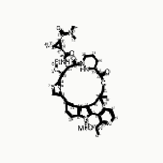 CCO[C@@H]1c2nc(cs2)-c2ccc3c(c2)c(c(-c2cccnc2[C@H](C)OC)n3CC)CC(C)(C)COC(=O)[C@@H]2CCCN(N2)C(=O)[C@H]1NC(=O)[C@H]1[C@H](C)[C@@H]1C(=O)N(C)C